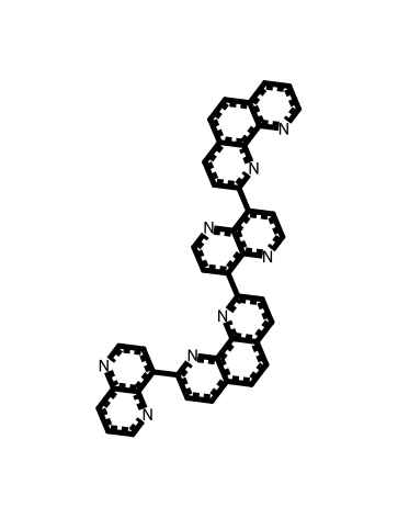 c1cnc2c(c1)ccc1ccc(-c3ccnc4c(-c5ccc6ccc7ccc(-c8ccnc9cccnc89)nc7c6n5)ccnc34)nc12